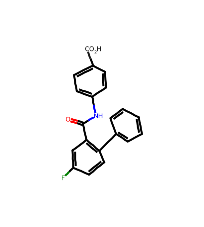 O=C(O)c1ccc(NC(=O)c2cc(F)ccc2-c2ccccc2)cc1